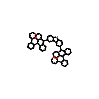 c1ccc(-c2ccccc2-c2c3ccccc3c(-c3ccc4oc5ccc(-c6c7ccccc7c(-c7ccccc7-c7ccccc7)c7ccccc67)cc5c4c3)c3ccccc23)cc1